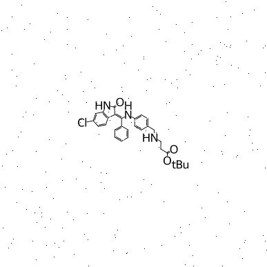 CC(C)(C)OC(=O)CCNCc1ccc(N/C(=C2\C(=O)Nc3cc(Cl)ccc32)c2ccccc2)cc1